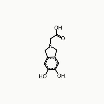 O=C(O)CN1Cc2cc(O)c(O)cc2C1